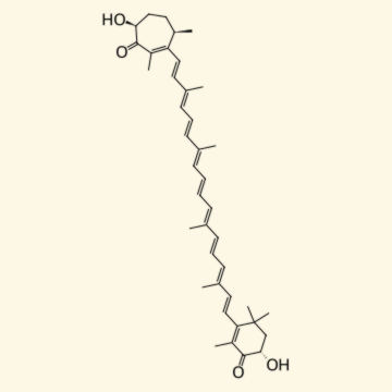 CC1=C(/C=C/C(C)=C/C=C/C(C)=C/C=C/C=C(C)/C=C/C=C(C)/C=C/C2=C(C)C(=O)[C@@H](O)CC2(C)C)[C@H](C)CC[C@H](O)C1=O